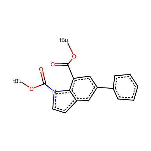 CC(C)(C)OC(=O)c1cc(-c2ccccc2)cc2ccn(C(=O)OC(C)(C)C)c12